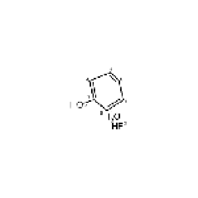 F.O.Oc1ccccc1